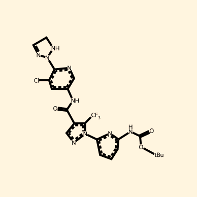 CC(C)(C)OC(=O)Nc1cccc(-n2ncc(C(=O)Nc3cnc(N4N=CCN4)c(Cl)c3)c2C(F)(F)F)n1